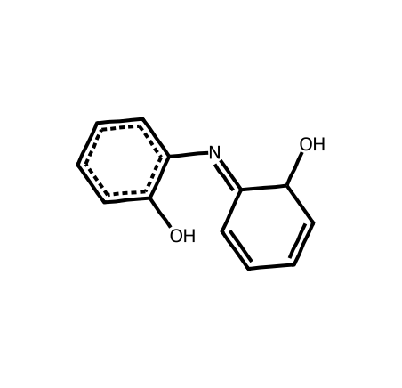 Oc1ccccc1N=C1C=CC=CC1O